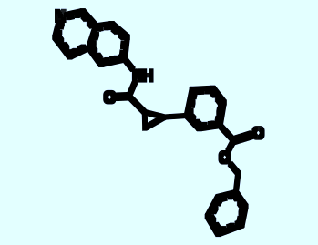 O=C(OCc1ccccc1)c1cccc(C2CC2C(=O)Nc2ccc3cnccc3c2)c1